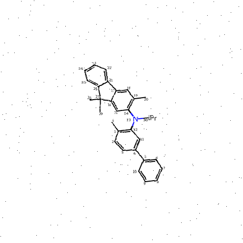 Cc1ccc(-c2ccccc2)cc1N(c1cc2c(cc1C)-c1ccccc1C2(C)C)C(C)C